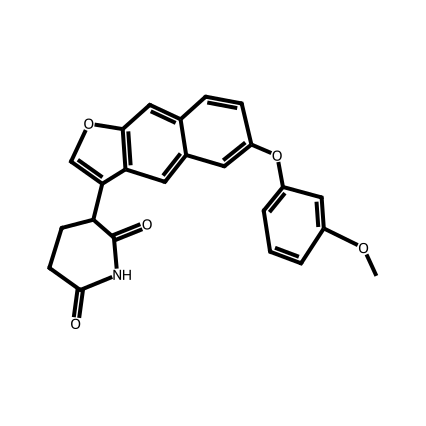 COc1cccc(Oc2ccc3cc4occ(C5CCC(=O)NC5=O)c4cc3c2)c1